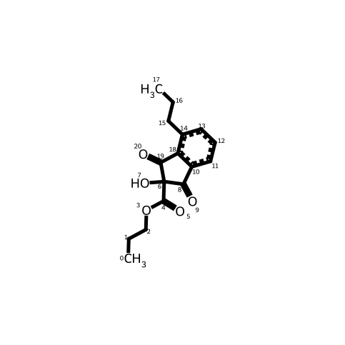 CCCOC(=O)C1(O)C(=O)c2cccc(CCC)c2C1=O